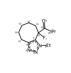 CCn1nnc2c1C(F)(C(=O)C(C)C)CCCCC2